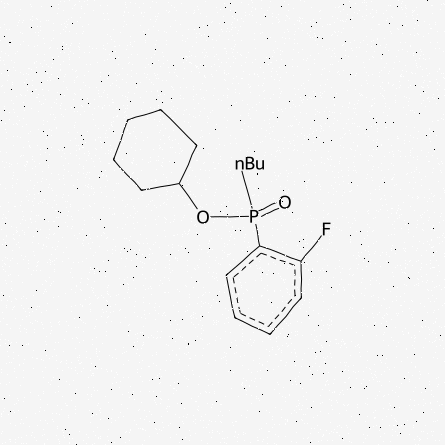 CCCCP(=O)(OC1CCCCC1)c1ccccc1F